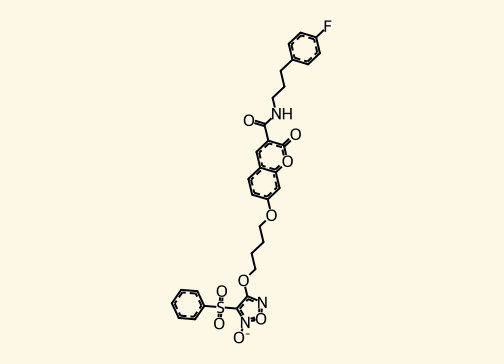 O=C(NCCCc1ccc(F)cc1)c1cc2ccc(OCCCCOc3no[n+]([O-])c3S(=O)(=O)c3ccccc3)cc2oc1=O